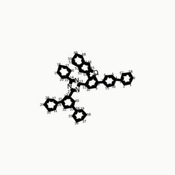 c1ccc(-c2ccc(-c3ccc(-c4nc(-c5ccccc5)nc(-c5cc(-c6ccccc6)cc(-c6ccccc6)c5)n4)c4c3oc3cc5ccccc5cc34)cc2)cc1